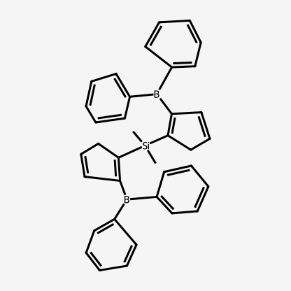 C[Si](C)(C1=C(B(c2ccccc2)c2ccccc2)C=CC1)C1=C(B(c2ccccc2)c2ccccc2)C=CC1